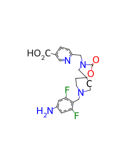 Nc1cc(F)c(CN2CCC3(CC2)CN(Cc2ccc(C(=O)O)cn2)C(=O)O3)c(F)c1